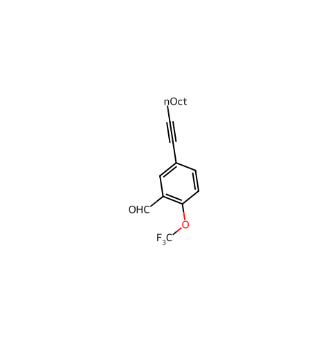 CCCCCCCCC#Cc1ccc(OC(F)(F)F)c(C=O)c1